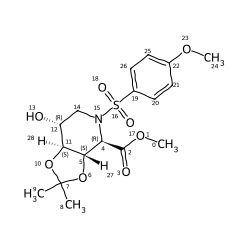 COC(=O)[C@H]1[C@@H]2OC(C)(C)O[C@H]2[C@H](O)CN1S(=O)(=O)c1ccc(OC)cc1